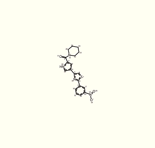 O=C(c1cc(-c2csc(-c3cccc([N+](=O)[O-])c3)n2)c[nH]1)N1CCCCC1